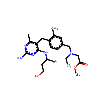 CCCC(CCO)Nc1nc(N)nc(C)c1Cc1ccc(CN(CC(=O)OC(C)(C)C)CC(F)(F)F)cc1OC